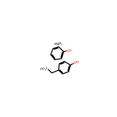 O=C(O)Cc1ccc(O)cc1.Oc1ccccc1.[MgH2]